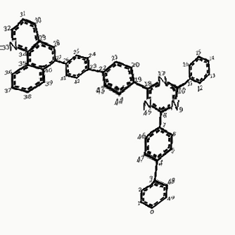 c1ccc(-c2ccc(-c3nc(-c4ccccc4)nc(-c4ccc(-c5ccc(-c6cc7cccnc7c7ccccc67)cc5)cc4)n3)cc2)cc1